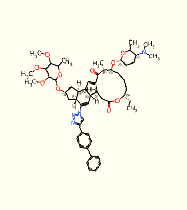 CC[C@H]1CCC[C@H](O[C@H]2CC[C@H](N(C)C)C(C)O2)[C@@H](C)C(=O)C2=C[C@@H]3[C@@H](C=C(n4cc(-c5ccc(-c6ccccc6)cc5)nn4)[C@@H]4C[C@@H](OC5OC(C)C(OC)C(OC)C5OC)C[C@@H]34)[C@@H]2CC(=O)O1